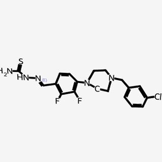 NC(=S)N/N=C/c1ccc(N2CCN(Cc3cccc(Cl)c3)CC2)c(F)c1F